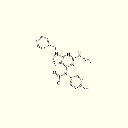 NNc1nc(N(C(=O)O)c2ccc(F)cc2)c2ncn(Cc3ccccc3)c2n1